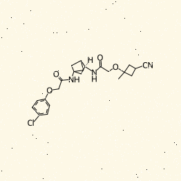 CC1(OCC(=O)N[C@H]2CC3(NC(=O)COc4ccc(Cl)cc4)CC2C3)CC(C#N)C1